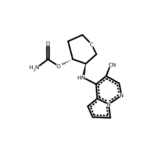 N#Cc1cnn2cccc2c1N[C@@H]1CCCC[C@H]1OC(N)=O